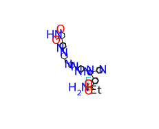 CCC(c1cccc(-c2cn(-c3ccc(N4CCN(CC5CCN(c6ccc(C7CCC(=O)NC7=O)cn6)CC5)CC4)nc3)nc2-c2ccncc2)c1F)S(N)(=O)=O